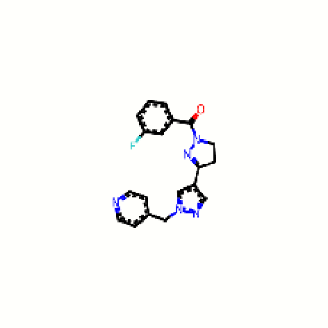 O=C(c1cccc(F)c1)N1CCC(c2cnn(Cc3ccncc3)c2)=N1